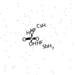 F.F.O=S(=O)(O)O.[CsH].[SbH3]